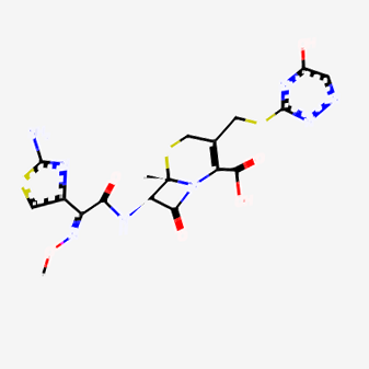 CON=C(C(=O)N[C@@H]1C(=O)N2C(C(=O)O)=C(CSc3nncc(O)n3)CS[C@@H]12)c1csc(N)n1